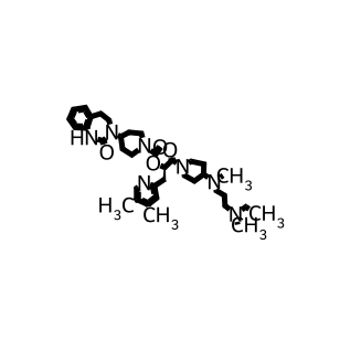 CCN(C)CCCN(C)C1CCN(C(=O)[C@@H](Cc2cc(C)c(C)cn2)OC(=O)N2CCC(N3CCc4ccccc4NC3=O)CC2)CC1